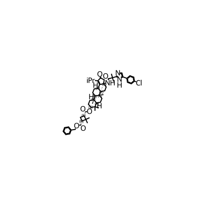 CC(C)C1=C2[C@H]3CC[C@@H]4[C@@]5(C)CC[C@H](OC(=O)[C@H]6C[C@@H](C(=O)OCc7ccccc7)C6(C)C)C(C)(C)[C@@H]5CC[C@@]4(C)[C@]3(C)CC[C@@]2(NC(=O)C(C)(C)c2ncc(-c3ccc(Cl)cc3)[nH]2)CC1=O